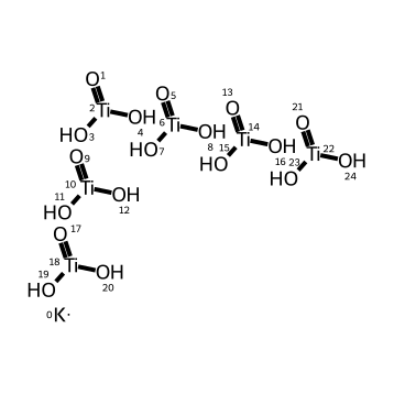 [K].[O]=[Ti]([OH])[OH].[O]=[Ti]([OH])[OH].[O]=[Ti]([OH])[OH].[O]=[Ti]([OH])[OH].[O]=[Ti]([OH])[OH].[O]=[Ti]([OH])[OH]